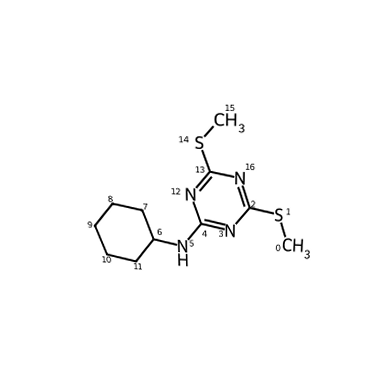 CSc1nc(NC2CCCCC2)nc(SC)n1